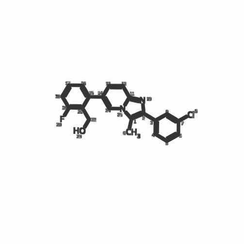 Cc1c(-c2cccc(Cl)c2)nc2ccc(-c3cccc(F)c3CO)cn12